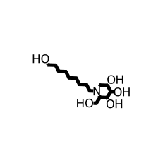 OCCCCCCCCCN1CC(O)C(O)C(O)C1CO